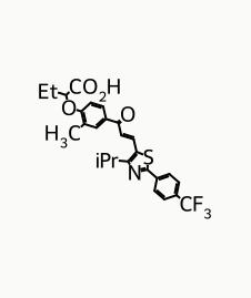 CCC(Oc1ccc(C(=O)C=Cc2sc(-c3ccc(C(F)(F)F)cc3)nc2C(C)C)cc1C)C(=O)O